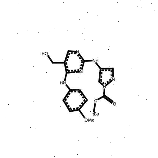 COc1ccc(Nc2nc(Nc3cnn(C(=O)OC(C)(C)C)c3)ncc2CO)cc1